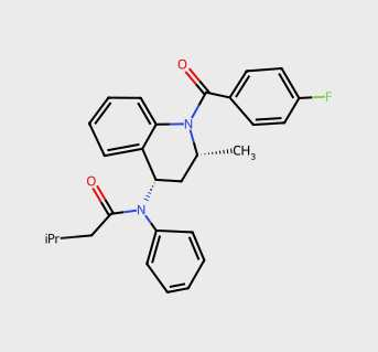 CC(C)CC(=O)N(c1ccccc1)[C@H]1C[C@@H](C)N(C(=O)c2ccc(F)cc2)c2ccccc21